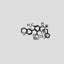 Cc1cc(NS(=O)(=O)CC2CCCC2)c(C)c(C(OC(C)(C)C)C(=O)O)c1-c1ccc2c(c1)CCCO2